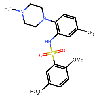 COc1ccc(C(=O)O)cc1S(=O)(=O)Nc1cc(C(F)(F)F)ccc1N1CCN(C)CC1